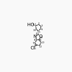 Oc1cccc(-c2nc3cc(Cl)ccc3o2)c1